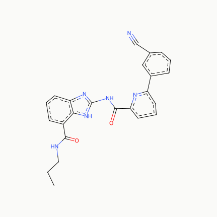 CCCNC(=O)c1cccc2nc(NC(=O)c3cccc(-c4cccc(C#N)c4)n3)[nH]c12